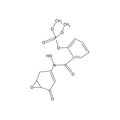 COP(=O)(OC)Oc1ccccc1C(=O)N(O)C1=CC(=O)C2OC2C1